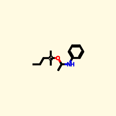 CCC[Si](C)(C)OC(C)Nc1ccccc1